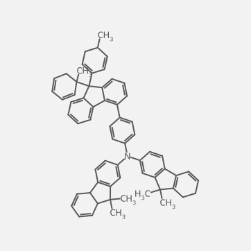 CC1C=CC(C2(C3(C)C=CC=CC3)c3ccccc3-c3c(-c4ccc(N(c5ccc6c(c5)C(C)(C)C5=C6C=CCC5)c5ccc6c(c5)C(C)(C)C5C=CC=CC65)cc4)cccc32)=CC1